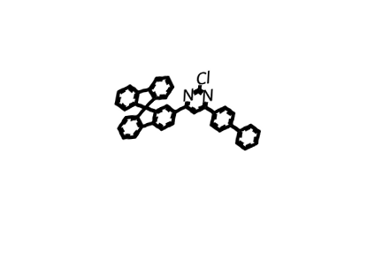 Clc1nc(-c2ccc(-c3ccccc3)cc2)cc(-c2ccc3c(c2)C2(c4ccccc4-c4ccccc42)c2ccccc2-3)n1